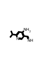 CC(C)c1cc(N)c(C=N)cn1